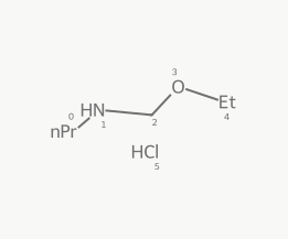 CCCNCOCC.Cl